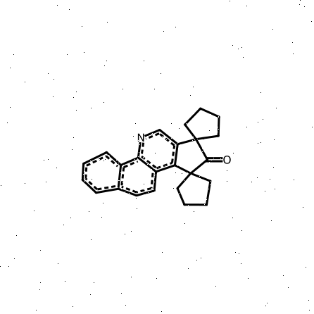 O=C1C2(CCCC2)c2cnc3c(ccc4ccccc43)c2C12CCCC2